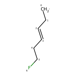 [CH2]CC=CCCF